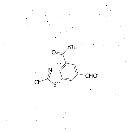 CC(C)(C)C(=O)c1cc(C=O)cc2sc(Cl)nc12